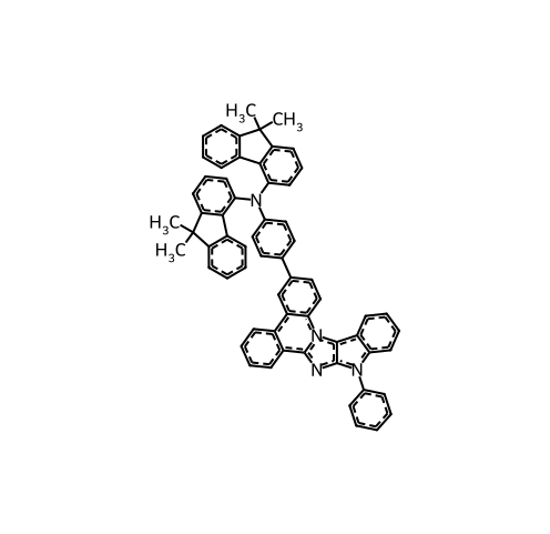 CC1(C)c2ccccc2-c2c(N(c3ccc(-c4ccc5c(c4)c4ccccc4c4nc6c(c7ccccc7n6-c6ccccc6)n54)cc3)c3cccc4c3-c3ccccc3C4(C)C)cccc21